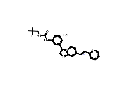 Cl.O=C(NCC(F)(F)F)Nc1cccc(-c2cnc3cc(/C=C/c4ccccn4)ccn23)c1